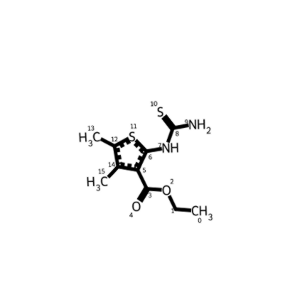 CCOC(=O)c1c(NC(N)=S)sc(C)c1C